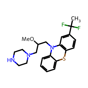 COC(CN1CCNCC1)CN1c2ccccc2Sc2ccc(C(C)(F)F)cc21